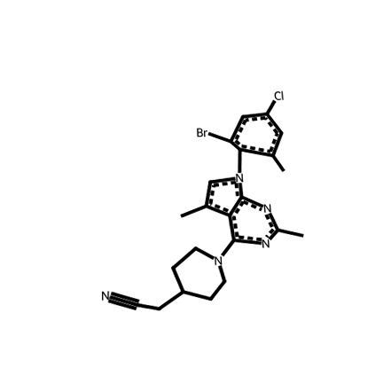 Cc1nc(N2CCC(CC#N)CC2)c2c(C)cn(-c3c(C)cc(Cl)cc3Br)c2n1